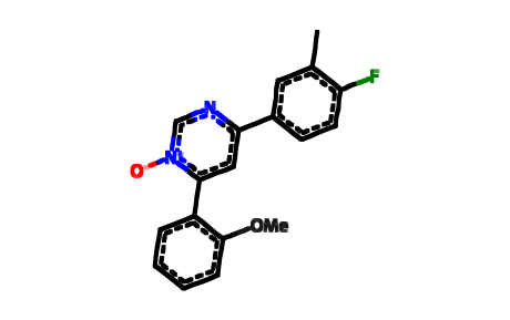 COc1ccccc1-c1cc(-c2ccc(F)c(C)c2)nc[n+]1[O-]